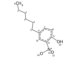 CCCCCCc1ccc(O)c([N+](=O)[O-])c1